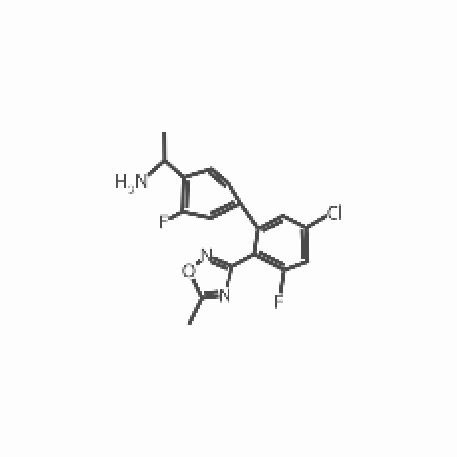 Cc1nc(-c2c(F)cc(Cl)cc2-c2ccc(C(C)N)c(F)c2)no1